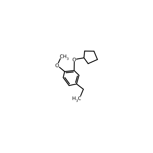 CCc1ccc(OC)c(OC2CCCC2)c1